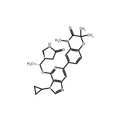 C[C@@H](Oc1nc(-c2ccc3c(c2)N(C)C(=O)C(C)(C)O3)cc2ncn(C3CC3)c12)[C@H]1CNC(=O)C1